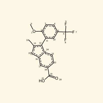 COc1ccc(C(F)(F)F)cc1-c1c(C)nc2cc(C(=O)O)ccn12